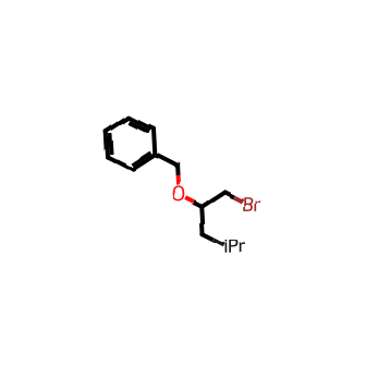 CC(C)CC(CBr)OCc1ccccc1